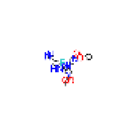 Cn1cc(-c2ccc(Nc3nn(C4CCN(C(=O)OCc5ccccc5)CC4)c4c3CN(C(=O)OC(C)(C)C)CC4)c(F)c2)cn1